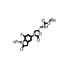 CCCN1C(=O)Cc2cc(N3C[C@H](CNC(=O)OC(C)(C)C)OC3=O)cc(F)c21